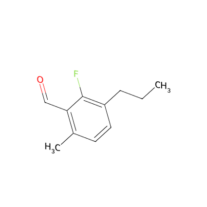 CCCc1ccc(C)c(C=O)c1F